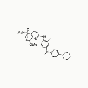 CNS(=O)(=O)c1ccc(Nc2ccc(N(C)c3ccc(C4CCCCC4)cc3)cc2C)nc1C(=O)OC